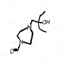 CCC(O)(CC)CN1CCN(C=O)CC1